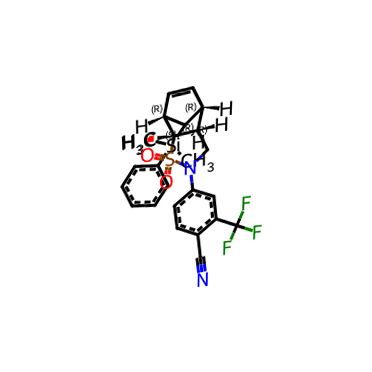 C[C@@]12[C@@H]3C=C[C@@H]([C@H]3[Si](C)(C)c3ccccc3)[C@@H]1CN(c1ccc(C#N)c(C(F)(F)F)c1)S2(=O)=O